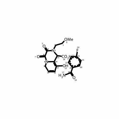 COCCN1C(=O)C(=O)N2CC=CC(O)=C2C1C(=O)O.NC(=O)c1ccc(F)cc1